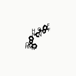 O=C(c1cc(Nc2ccc3c(c2)CC2(C3)C(=O)Nc3ncccc32)ccn1)N1CCc2c1ccc(F)c2F